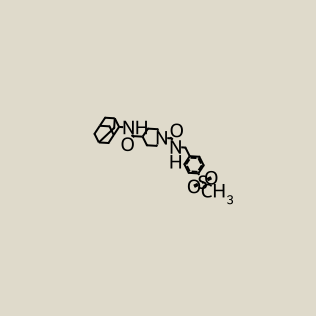 CS(=O)(=O)c1ccc(CNC(=O)N2CCC(C(=O)NC3C4CC5CC(C4)CC3C5)CC2)cc1